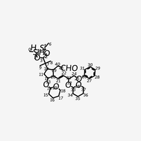 C[SiH2]OC(O[SiH2]C)C(C)(C)C1CC(OC2CCCCO2)C(C=CC(COc2ccccc2)OC2CCCCO2)C1CC=O